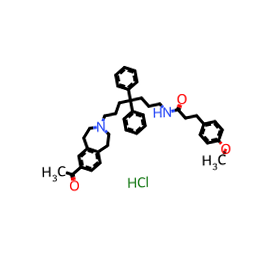 COc1ccc(CCC(=O)NCCCC(CCCN2CCc3ccc(C(C)=O)cc3CC2)(c2ccccc2)c2ccccc2)cc1.Cl